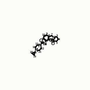 O=S1(=O)CCCN1Cc1ccc2oc(N3CCN(C4CC4)CC3)nc2c1